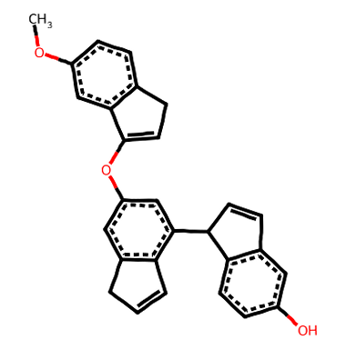 COc1ccc2c(c1)C(Oc1cc3c(c(C4C=Cc5cc(O)ccc54)c1)C=CC3)=CC2